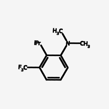 CC(C)c1c(N(C)C)cccc1C(F)(F)F